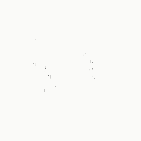 Cc1ccc(O)c(-n2nc3ccccc3n2)c1C(C(=O)O)(C(=O)O)c1c(C)ccc(O)c1-n1nc2ccccc2n1